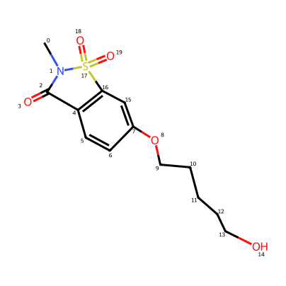 CN1C(=O)c2ccc(OCCCCCO)cc2S1(=O)=O